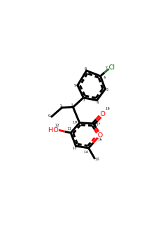 CCC(c1ccc(Cl)cc1)c1c(O)cc(C)oc1=O